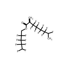 C=C(C(=O)OCC(F)(F)C(F)(F)C(F)(F)C(F)F)C(F)(F)C(F)(F)C(F)(F)C(F)(F)C(C)F